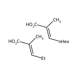 CCC=C(C)C(=O)O.CCCCCCC=C(C)C(=O)O